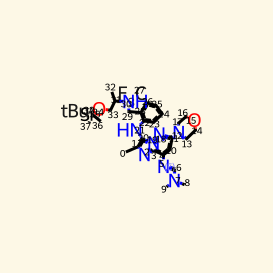 Cc1nc2c(/N=C/N(C)C)cc(N3CCOCC3)nn2c1Nc1cccc(C(F)(F)F)c1CNC(C)CO[Si](C)(C)C(C)(C)C